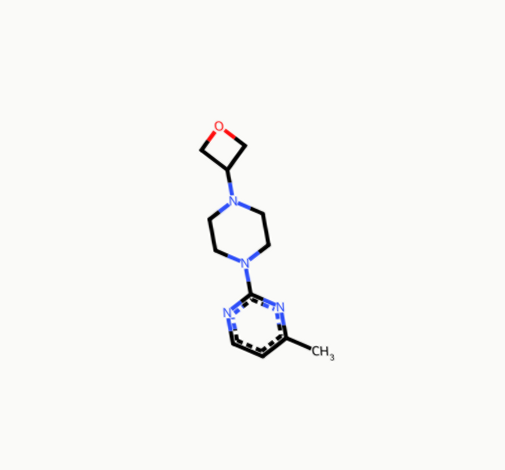 Cc1ccnc(N2CCN(C3COC3)CC2)n1